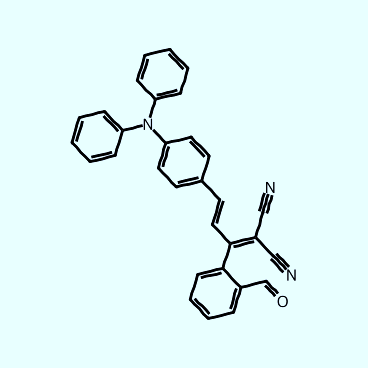 N#CC(C#N)=C(C=Cc1ccc(N(c2ccccc2)c2ccccc2)cc1)c1ccccc1C=O